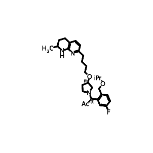 CC(=O)[C@H](c1cc(F)ccc1COC(C)C)N1CC[C@@H](OCCCCc2ccc3c(n2)NC(C)CC3)C1